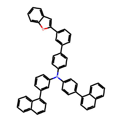 c1cc(-c2ccc(N(c3ccc(-c4cccc5ccccc45)cc3)c3cccc(-c4cccc5ccccc45)c3)cc2)cc(-c2cc3ccccc3o2)c1